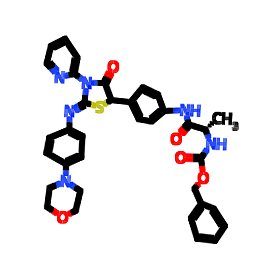 C[C@H](NC(=O)OCc1ccccc1)C(=O)Nc1ccc(C2S/C(=N\c3ccc(N4CCOCC4)cc3)N(c3ccccn3)C2=O)cc1